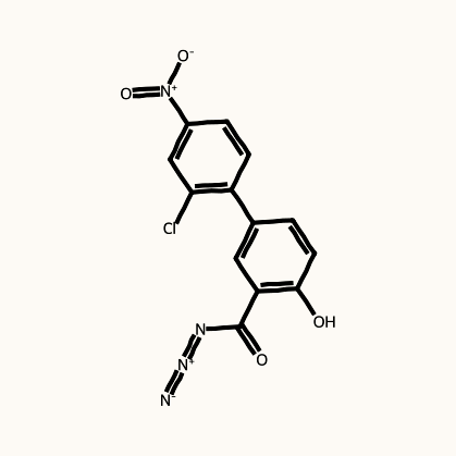 [N-]=[N+]=NC(=O)c1cc(-c2ccc([N+](=O)[O-])cc2Cl)ccc1O